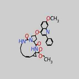 CCOC(=O)C12CC1C=CCCCCNC(=O)N1CC(Oc3cc(-c4ccccc4)nc4cc(OC)ccc34)CC1C(=O)N2